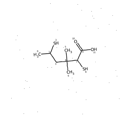 CC(S)CC(C)(C)C(S)C(=O)O